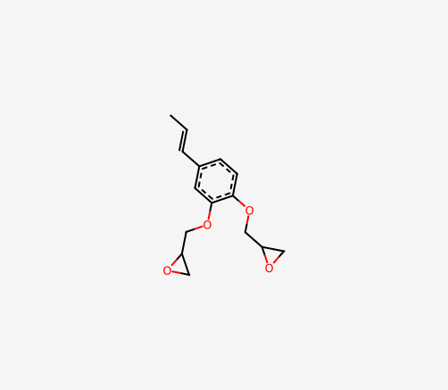 CC=Cc1ccc(OCC2CO2)c(OCC2CO2)c1